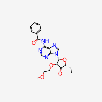 CC[C@H]1O[C@@H](n2cnc3c(NC(=O)c4ccccc4)ncnc32)[C@H](OCCOC)C1=O